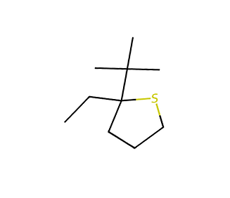 CCC1(C(C)(C)C)CCCS1